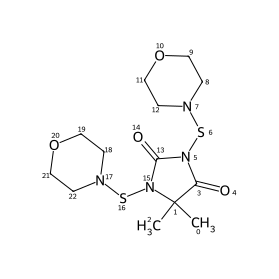 CC1(C)C(=O)N(SN2CCOCC2)C(=O)N1SN1CCOCC1